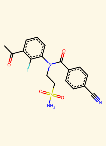 CC(=O)c1cccc(N(CCS(N)(=O)=O)C(=O)c2ccc(C#N)cc2)c1F